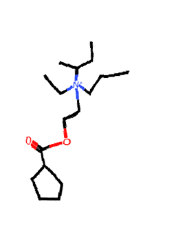 CCC[N+](CC)(CCOC(=O)C1CCCC1)C(C)CC